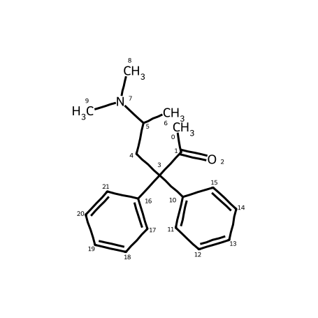 CC(=O)C(CC(C)N(C)C)(c1ccccc1)c1ccccc1